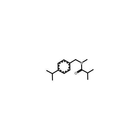 CC(C)C(=O)N(C)Cc1ccc(C(C)C)cc1